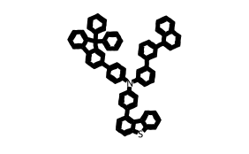 c1ccc(C2(c3ccccc3)c3ccccc3-c3ccc(-c4ccc(N(c5ccc(-c6cccc7sc8ccccc8c67)cc5)c5cccc(-c6cccc(-c7cccc8ccccc78)c6)c5)cc4)cc32)cc1